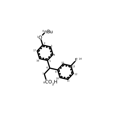 CCCCOc1ccc(C(CC(=O)O)c2cccc(F)c2)cc1